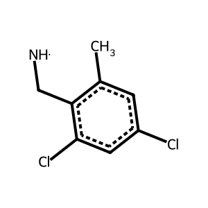 Cc1cc(Cl)cc(Cl)c1C[NH]